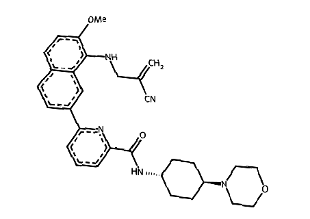 C=C(C#N)CNc1c(OC)ccc2ccc(-c3cccc(C(=O)N[C@H]4CC[C@H](N5CCOCC5)CC4)n3)cc12